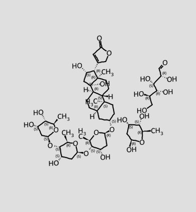 C[C@H]1O[C@@H](O)C[C@H](O)[C@@H]1O.C[C@H]1O[C@@H](O[C@H]2[C@@H](O)C[C@H](O[C@H]3[C@@H](O)C[C@H](O[C@H]4CC[C@@]5(C)[C@H](CC[C@@H]6[C@@H]5CC[C@]5(C)[C@@H](C7=CC(=O)OC7)[C@@H](O)C[C@]65O)C4)O[C@@H]3C)O[C@@H]2C)C[C@H](O)[C@@H]1O.O=C[C@H](O)[C@@H](O)[C@H](O)[C@H](O)CO